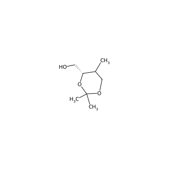 CC1COC(C)(C)O[C@@H]1CO